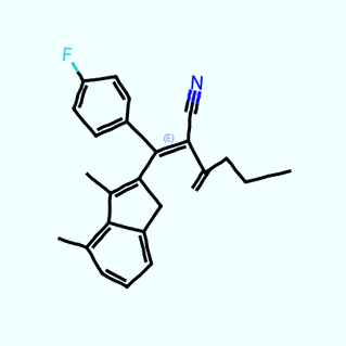 C=C(CCC)/C(C#N)=C(\C1=C(C)c2c(C)cccc2C1)c1ccc(F)cc1